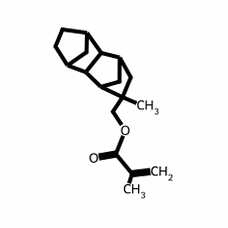 C=C(C)C(=O)OCC1(C)CC2CC1C1C3CCC(C3)C21